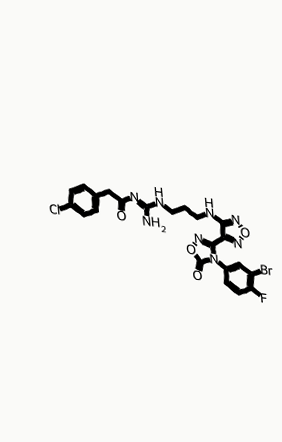 N/C(=N\C(=O)Cc1ccc(Cl)cc1)NCCCNc1nonc1-c1noc(=O)n1-c1ccc(F)c(Br)c1